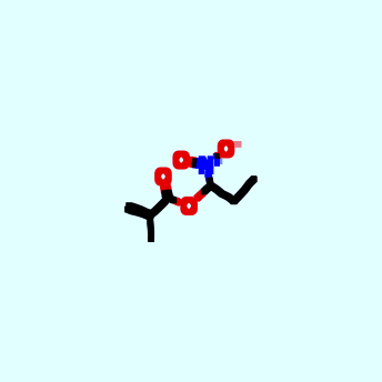 C=C(C)C(=O)OC(CC)[N+](=O)[O-]